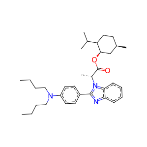 CCCCN(CCCC)c1ccc(-c2nc3ccccc3n2[C@H](C)C(=O)O[C@@H]2C[C@H](C)CCC2C(C)C)cc1